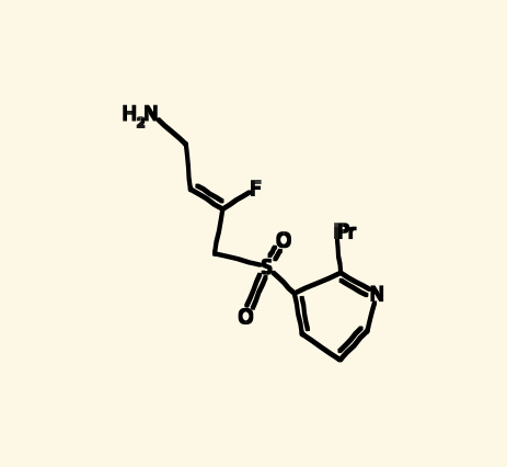 CC(C)c1ncccc1S(=O)(=O)C/C(F)=C/CN